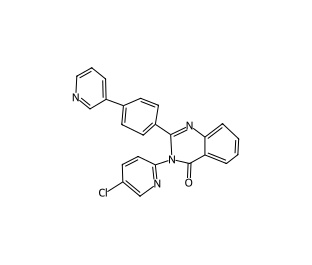 O=c1c2ccccc2nc(-c2ccc(-c3cccnc3)cc2)n1-c1ccc(Cl)cn1